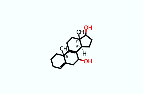 C[C@]12CCCC=C1CC(O)C1=C2CC[C@]2(C)C(O)CC[C@@H]12